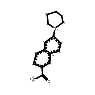 O=C(c1ccc2cc(N3CCCCC3)ccc2c1)C(F)(F)F